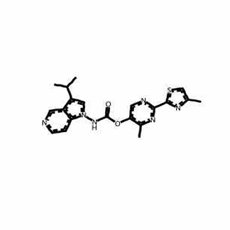 Cc1csc(-c2ncc(OC(=O)Nn3cc(C(C)C)c4cnccc43)c(C)n2)n1